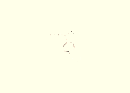 CCCCCCCCCC(CCCCC)c1ccc(C(=O)O)cc1